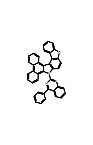 c1ccc(-c2nc(-n3c4ccc5oc6ccccc6c5c4c4c5ccccc5c5ccccc5c43)nc3ccccc23)cc1